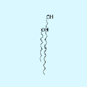 CCCCCCCCC=CCCCCCCCCO.CCCCCCCCCCO